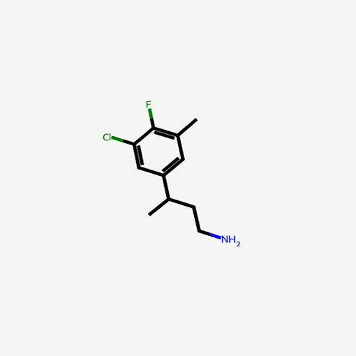 Cc1cc(C(C)CCN)cc(Cl)c1F